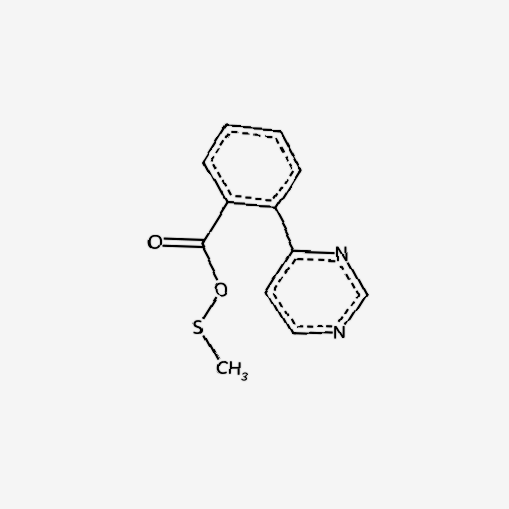 CSOC(=O)c1ccccc1-c1ccncn1